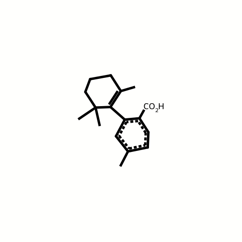 CC1=C(c2cc(C)ccc2C(=O)O)C(C)(C)CCC1